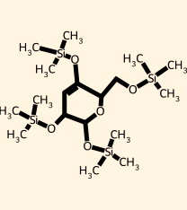 C[Si](C)(C)OCC1OC(O[Si](C)(C)C)C(O[Si](C)(C)C)C=C1O[Si](C)(C)C